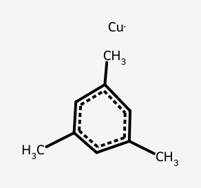 Cc1cc(C)cc(C)c1.[Cu]